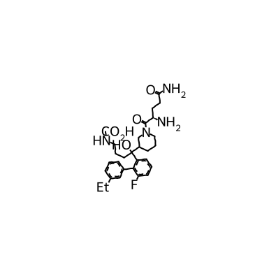 CCc1cccc(-c2c(F)cccc2C(O)(CCCNC(=O)O)C2CCCN(C(=O)[C@H](N)CCC(N)=O)C2)c1